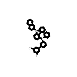 Clc1cc(Cl)cc(-c2cccc(N(c3ccccc3)c3cccc4c3c3ccccc3n4-c3ccc4ccccc4c3)c2)c1